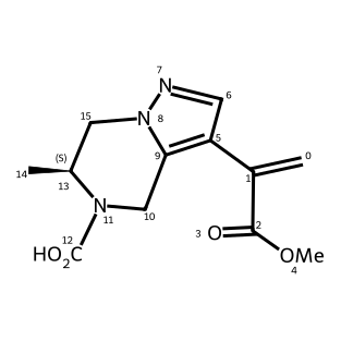 C=C(C(=O)OC)c1cnn2c1CN(C(=O)O)[C@@H](C)C2